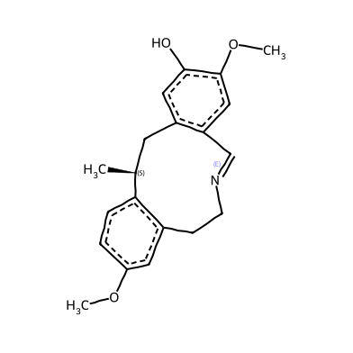 COc1ccc2c(c1)CC/N=C/c1cc(OC)c(O)cc1C[C@@H]2C